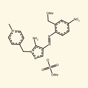 COCc1cc([N+](=O)[O-])ccc1/N=N/c1cnn(Cc2cc[n+](C)cc2)c1N.COS(=O)(=O)[O-]